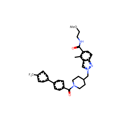 COCCNC(=O)c1ccc2nn(CC3CCN(C(=O)c4ccc(-c5ccc(C(F)(F)F)cc5)cc4)CC3)cc2c1C